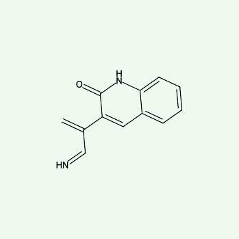 C=C(C=N)c1cc2ccccc2[nH]c1=O